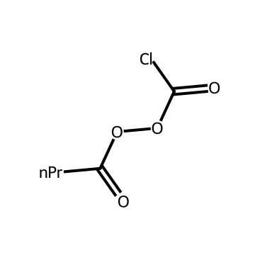 CCCC(=O)OOC(=O)Cl